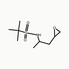 CC(CC1CO1)NS(=O)(=O)C(C)(C)C